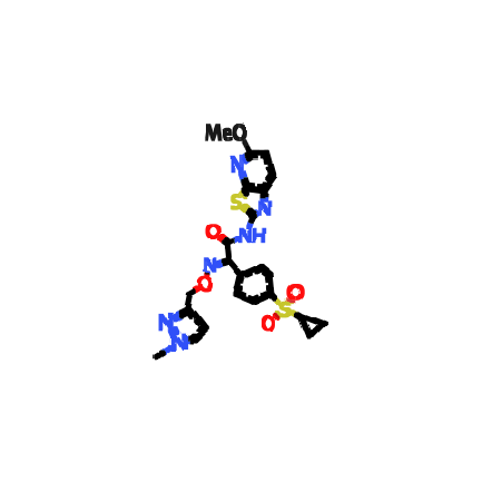 COc1ccc2nc(NC(=O)/C(=N/OCc3ccn(C)n3)c3ccc(S(=O)(=O)C4CC4)cc3)sc2n1